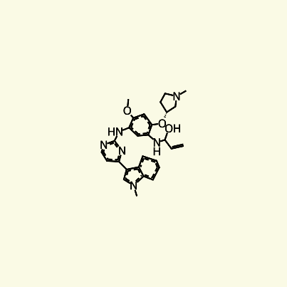 C=CC(O)Nc1cc(Nc2nccc(-c3cn(C)c4ccccc34)n2)c(OC)cc1O[C@@H]1CCN(C)C1